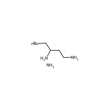 CCCCCC(N)CCN.N